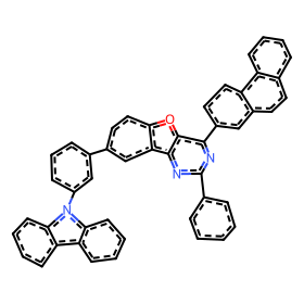 c1ccc(-c2nc(-c3ccc4c(ccc5ccccc54)c3)c3oc4ccc(-c5cccc(-n6c7ccccc7c7ccccc76)c5)cc4c3n2)cc1